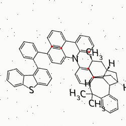 C[C@H]1C[C@@H]2C[C@@H]3C[C@H](C1)C21c2cc(N(c4ccc(-c5ccccc5-c5cccc6sc7ccccc7c56)cc4)c4ccccc4-c4ccccc4)ccc2C(C)(C)c2ccccc2C31